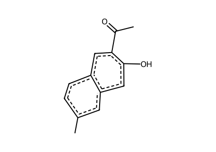 CC(=O)c1cc2ccc(C)cc2cc1O